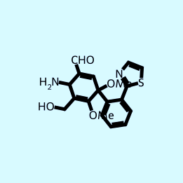 COC1=C(CO)C(N)C(C=O)=CC1(OC)c1ccccc1-c1nccs1